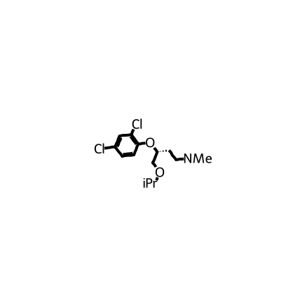 CNCC[C@H](COC(C)C)Oc1ccc(Cl)cc1Cl